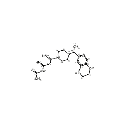 CC(=O)NC(=N)SC(=N)N1CCN(C(C)c2ccc3c(c2)OCCO3)CC1